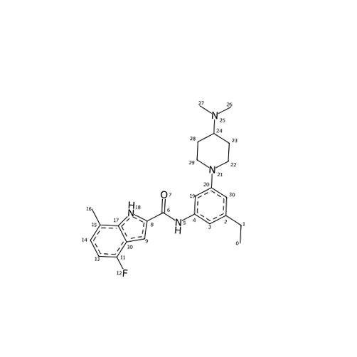 CCc1cc(NC(=O)c2cc3c(F)ccc(C)c3[nH]2)cc(N2CCC(N(C)C)CC2)c1